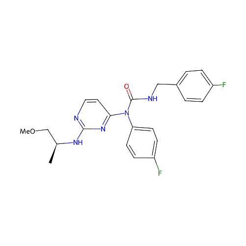 COC[C@H](C)Nc1nccc(N(C(=O)NCc2ccc(F)cc2)c2ccc(F)cc2)n1